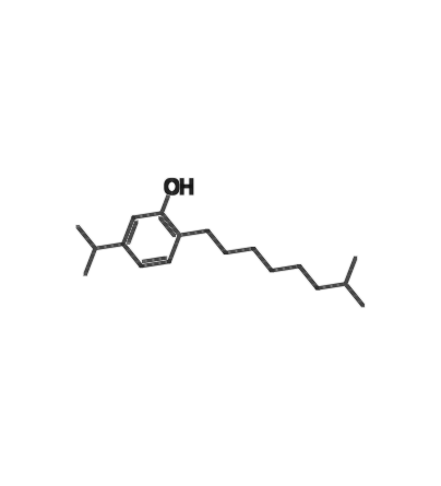 CC(C)CCCCCCc1ccc(C(C)C)cc1O